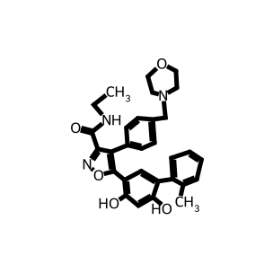 CCNC(=O)c1noc(-c2cc(-c3ccccc3C)c(O)cc2O)c1-c1ccc(CN2CCOCC2)cc1